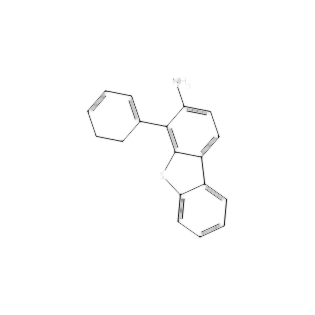 Nc1ccc2c(sc3ccccc32)c1C1=CC=CCC1